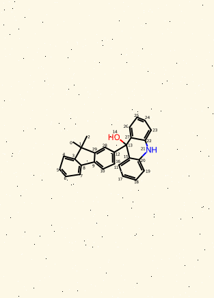 CC1(C)c2ccccc2-c2ccc(C3(O)c4ccccc4Nc4ccccc43)cc21